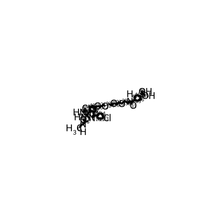 CCNC(=O)C[C@@H]1N=C(c2ccc(Cl)cc2)c2cc(OCCOCCOCCOCCNC(=O)c3ccc(B(O)O)cc3)ccc2N(C(C)=N)C1=N